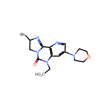 CC(C)(C)C1CN2C(=O)N(CC(=O)O)c3cc(N4CCOCC4)cnc3C2=N1